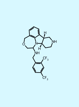 FC(F)(F)c1ccc(CNC2COCc3cccc4c3N2[C@H]2CCNC[C@@H]42)c(C(F)(F)F)c1